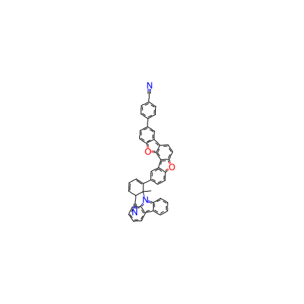 CC1(n2c3ccccc3c3ccccc32)C(c2ccc3oc4ccc5c6cc(-c7ccc(C#N)cc7)ccc6oc5c4c3c2)=CC=CC1C#N